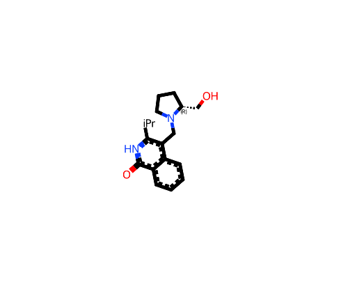 CC(C)c1[nH]c(=O)c2ccccc2c1CN1CCC[C@@H]1CO